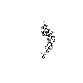 COC(=O)CCOC(=O)Nc1ccc(NC(=O)C(C)NC(=O)C=Cc2cc(Cl)ccc2-n2cnnn2)cc1